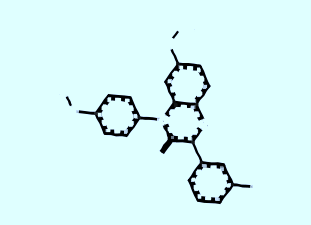 COc1ccc(-n2c(=O)c(-c3cccc(Cl)c3)nc3ccc(OC)cc32)cc1